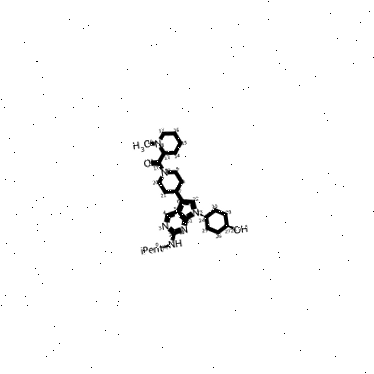 CCC[C@H](C)Nc1ncc2c(C3CCN(C(=O)C4CCCCN4C)CC3)cn([C@H]3CC[C@H](O)CC3)c2n1